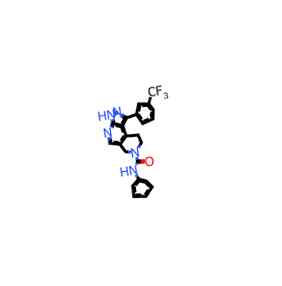 O=C(Nc1ccccc1)N1CCc2c(cnc3[nH]nc(-c4cccc(C(F)(F)F)c4)c23)C1